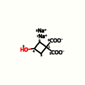 O=C([O-])C1(C(=O)[O-])CC(O)C1.[Na+].[Na+]